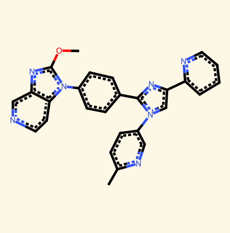 COc1nc2cnccc2n1-c1ccc(-c2nc(-c3ccccn3)cn2-c2ccc(C)nc2)cc1